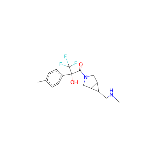 CNCC1C2CN(C(=O)C(O)(c3ccc(C)cc3)C(F)(F)F)CC12